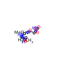 COc1cc(N2CCN(C(=O)CCc3cccc4c3CN(C3CCC(=O)NC3=O)C4=O)CC2)ccc1Nc1ncc(Cl)c(Nc2ccccc2P(C)(C)=O)n1